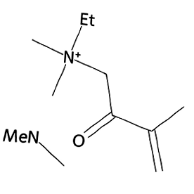 C=C(C)C(=O)C[N+](C)(C)CC.CNC